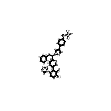 CS(=O)(=O)Nc1ccc(-c2cnn(C(Cc3ccccc3)c3ccc(-c4c(-n5cnnn5)ccc(Cl)c4F)cn3)c2)cc1